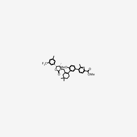 COC(=O)c1ccc(-c2ccc(OC)c(C3=C(CN4C(=O)O[C@H](c5cc(C)cc(C(F)(F)F)c5)[C@@H]4C)CC(C)(C)CC3)c2)c(C)n1